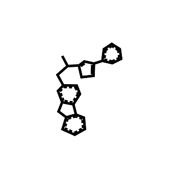 CC(Cc1ccc2c(c1)Cc1ccccc1-2)C1=CC(c2ccccc2)=CC1